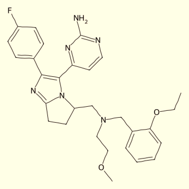 CCOc1ccccc1CN(CCOC)CC1CCc2nc(-c3ccc(F)cc3)c(-c3ccnc(N)n3)n21